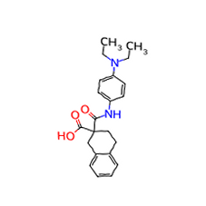 CCN(CC)c1ccc(NC(=O)C2(C(=O)O)CCc3ccccc3C2)cc1